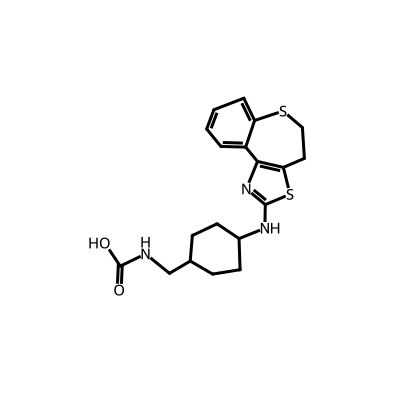 O=C(O)NCC1CCC(Nc2nc3c(s2)CCSc2ccccc2-3)CC1